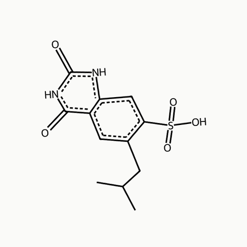 CC(C)Cc1cc2c(=O)[nH]c(=O)[nH]c2cc1S(=O)(=O)O